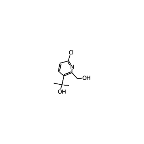 CC(C)(O)c1ccc(Cl)nc1CO